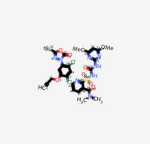 C#CCOc1cc(-n2nc(C(C)(C)C)oc2=O)c(Cl)cc1Cl.COc1cc(OC)nc(NC(=O)NS(=O)(=O)c2ncccc2C(=O)N(C)C)n1